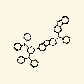 c1ccc(N(c2ccccc2)c2cc(-c3ccc4c(c3)sc3cc(N(c5ccccc5)c5ccc6sc7ccccc7c6c5)ccc34)cc(N(c3ccccc3)c3ccccc3)c2)cc1